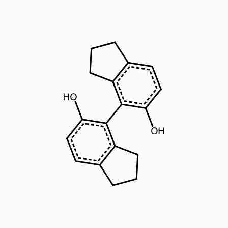 Oc1ccc2c(c1-c1c(O)ccc3c1CCC3)CCC2